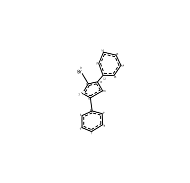 Brc1sc(-c2ccccc2)[c]c1-c1ccccc1